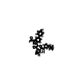 CC(=O)c1nn(CC(=O)N2C3C[C@@H]3C[C@H]2C(=O)NC2CCN(CC(F)(F)F)C2)c2ccc(-c3cnc(C)nc3)cc12